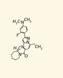 CCc1cc(C(=O)N2CCCCCC2C)nc2cc(-c3ccc(N(C)C)cc3F)nn12